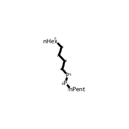 CCCCCCCCCC[P][P]CCCCC